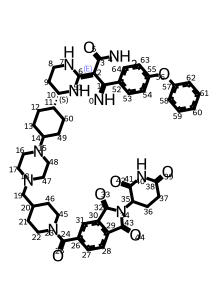 N=C(/C(C(N)=O)=C1/NCC[C@@H](C2CCC(N3CCN(CC4CCN(C(=O)c5ccc6c(c5)C(=O)N(C5CCC(=O)NC5=O)C6=O)CC4)CC3)CC2)N1)c1ccc(Oc2ccccc2)cc1